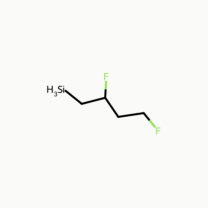 FCCC(F)C[SiH3]